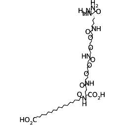 NN[C@@H](CCCCNC(=O)COCCOCCNC(=O)COCCOCCNC(=O)CC[C@H](NC(=O)CCCCCCCCCCCCCCCCC(=O)O)C(=O)O)C(N)=O